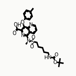 Cc1ccc(Oc2c(C(=O)O)nc(N(C)S(=O)(=O)CCCCCNC(=O)OC(C)(C)C)c3cccnc23)cc1